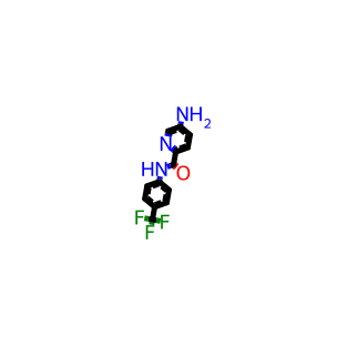 Nc1ccc(C(=O)Nc2ccc(C(F)(F)F)cc2)nc1